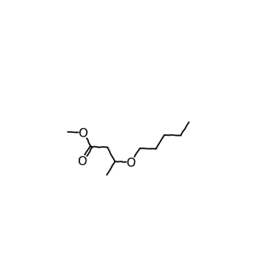 CCCCCOC(C)CC(=O)OC